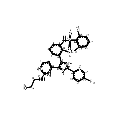 O=S(=O)(Nc1cccc(-c2nc(-c3ccc(F)cn3)sc2-c2ccnc(NCCO)n2)c1F)c1c(Cl)cccc1Cl